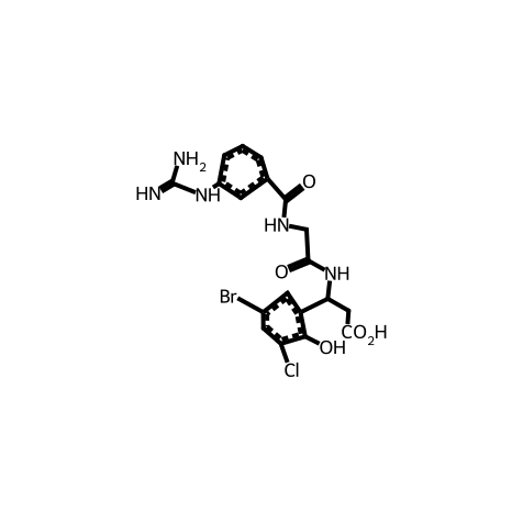 N=C(N)Nc1cccc(C(=O)NCC(=O)NC(CC(=O)O)c2cc(Br)cc(Cl)c2O)c1